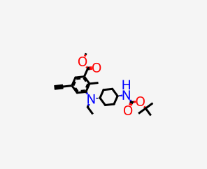 C#Cc1cc(C(=O)OC)c(C)c(N(CC)[C@H]2CC[C@H](NC(=O)OC(C)(C)C)CC2)c1